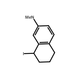 CNc1ccc2c(c1)C(I)CCC2